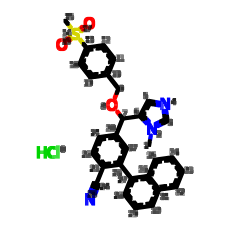 Cl.Cn1cncc1C(OCc1ccc(S(C)(=O)=O)cc1)c1ccc(C#N)c(-c2cccc3ccccc23)c1